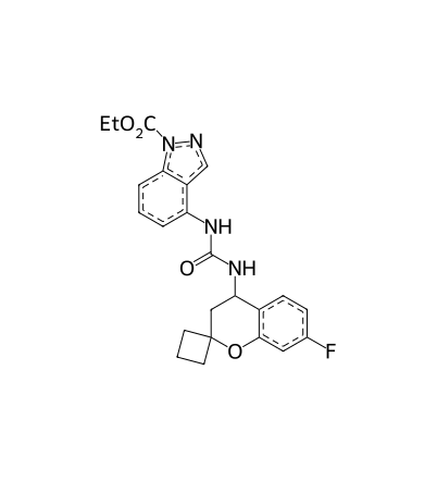 CCOC(=O)n1ncc2c(NC(=O)NC3CC4(CCC4)Oc4cc(F)ccc43)cccc21